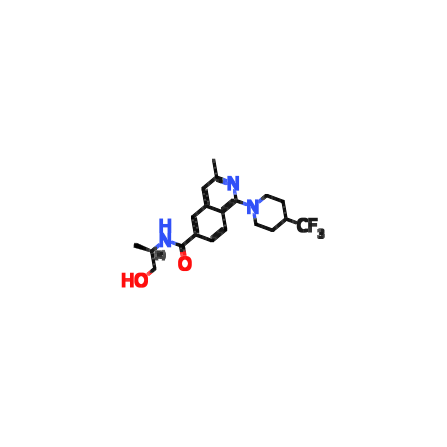 Cc1cc2cc(C(=O)N[C@H](C)CO)ccc2c(N2CCC(C(F)(F)F)CC2)n1